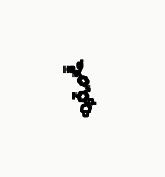 COCC(=NO)c1ccc(Sc2cc(F)cc(C3(OC)CCOCC3)c2)cc1